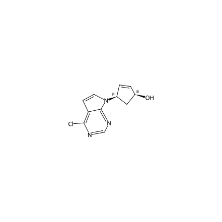 O[C@@H]1C=C[C@H](n2ccc3c(Cl)ncnc32)C1